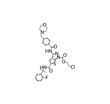 CC(C)(NC(=O)c1cc2c(NC(=O)c3ccc(CN4CCOCC4)cc3)nn(C(=O)OCCCl)c2s1)c1ccccc1F